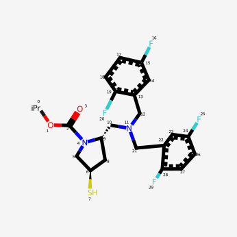 CC(C)OC(=O)N1C[C@H](S)C[C@H]1CN(Cc1cc(F)ccc1F)Cc1cc(F)ccc1F